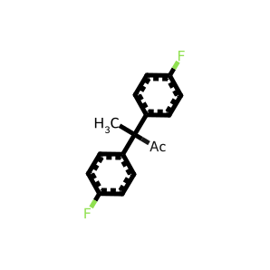 CC(=O)C(C)(c1ccc(F)cc1)c1ccc(F)cc1